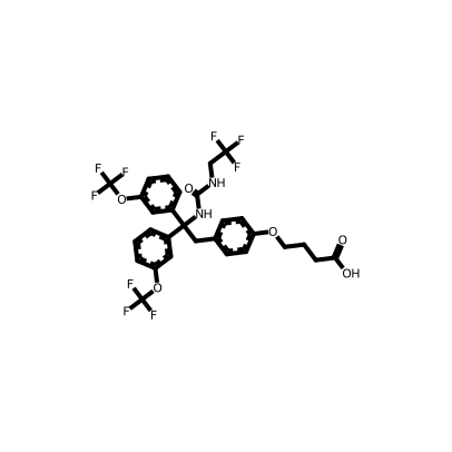 O=C(O)CCCOc1ccc(CC(NC(=O)NCC(F)(F)F)(c2cccc(OC(F)(F)F)c2)c2cccc(OC(F)(F)F)c2)cc1